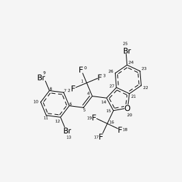 FC(F)(F)C(=Cc1cc(Br)ccc1Br)c1c(C(F)(F)F)oc2ccc(Br)cc12